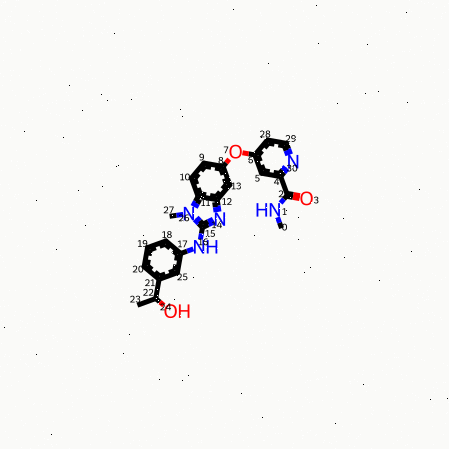 CNC(=O)c1cc(Oc2ccc3c(c2)nc(Nc2cccc(C(C)O)c2)n3C)ccn1